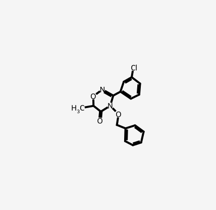 CC1ON=C(c2cccc(Cl)c2)N(OCc2ccccc2)C1=O